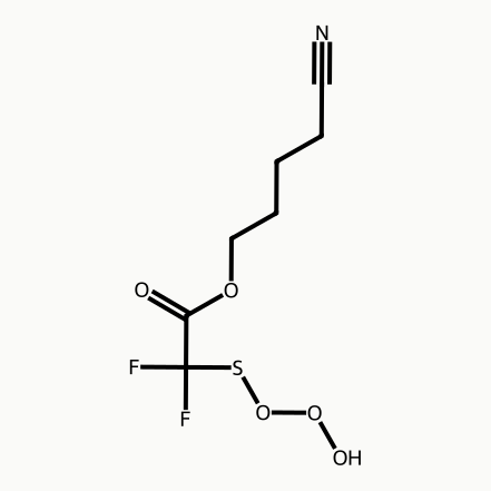 N#CCCCCOC(=O)C(F)(F)SOOO